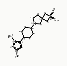 CC(C)n1nc(Br)cc1C1CCC(N2CCC3(C2)CS(=O)(=O)C3)CC1